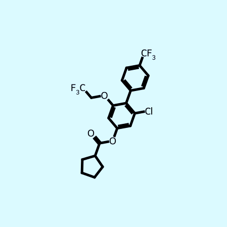 O=C(Oc1cc(Cl)c(-c2ccc(C(F)(F)F)cc2)c(OCC(F)(F)F)c1)C1CCCC1